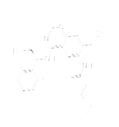 CCOc1cc2ncnc(N[C@H](CO)c3ccccc3)c2cc1NC(=O)/C=C/C(=O)O